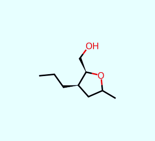 CCC[C@@H]1CC(C)O[C@@H]1CO